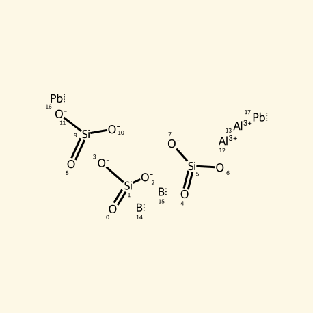 O=[Si]([O-])[O-].O=[Si]([O-])[O-].O=[Si]([O-])[O-].[Al+3].[Al+3].[B].[B].[Pb].[Pb]